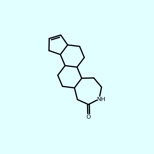 O=C1CC2CCC3C4CC=CC4CCC3C2CCN1